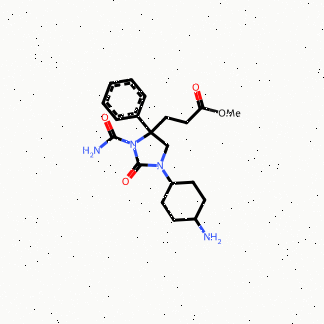 COC(=O)CCC1(c2ccccc2)CN(C2CCC(N)CC2)C(=O)N1C(N)=O